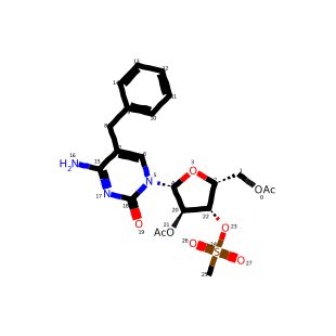 CC(=O)OC[C@H]1O[C@@H](n2cc(Cc3ccccc3)c(N)nc2=O)[C@H](OC(C)=O)[C@H]1OS(C)(=O)=O